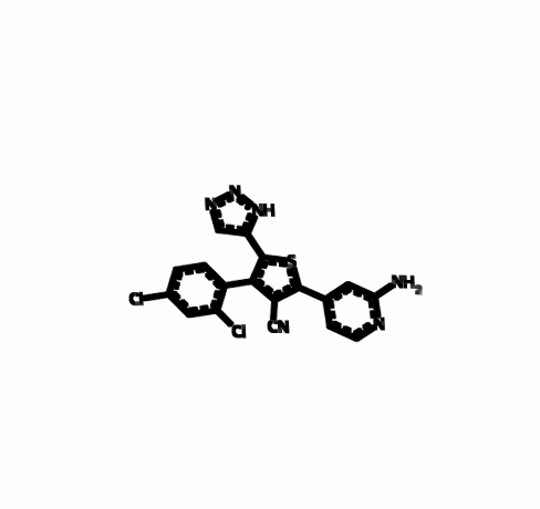 N#Cc1c(-c2ccnc(N)c2)sc(-c2cnn[nH]2)c1-c1ccc(Cl)cc1Cl